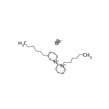 CCCCCCc1ccc[n+](-c2cccc[n+]2CCCCCC)c1.[Br-].[Br-]